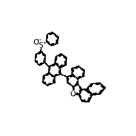 [O-][S+](c1ccccc1)c1cccc(-c2c3ccccc3c(-c3cc4oc5ccc6ccccc6c5c4c4ccccc34)c3ccccc23)c1